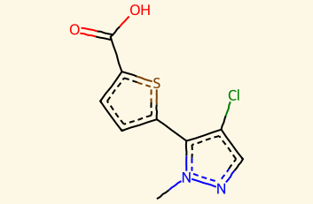 Cn1ncc(Cl)c1-c1ccc(C(=O)O)s1